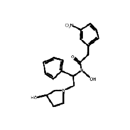 O=C(Cc1cccc([N+](=O)[O-])c1)N(O)C(CN1CCC(O)C1)c1ccccc1